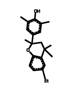 CCc1ccc2c(c1)C(C)(C)CC(C)(c1cc(C)c(O)c(C)c1)O2